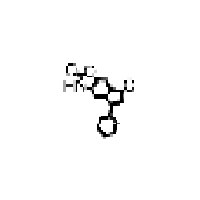 O=C1C=C(c2ccccc2)c2cc3[nH]c(=O)oc3cc21